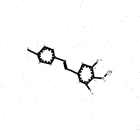 Cc1ccc(/C=C/c2cc(F)c(SC#N)c(F)c2)cc1